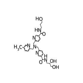 Cc1ccc(CN(Cc2ccc(C(=O)NCCCO)cn2)Cc2ccc(C(=O)NCC(O)CO)cn2)nc1